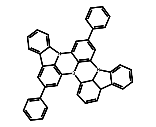 C1=CC2c3ccccc3N3c4cc(-c5ccccc5)cc5c4B(C(=C1)C23)c1cc(-c2ccccc2)cc2c3ccccc3n-5c12